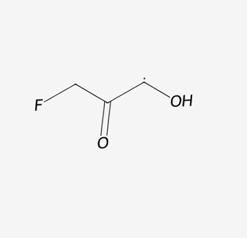 O=C([CH]O)CF